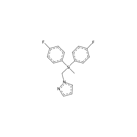 C[Si](Cn1cccn1)(c1ccc(F)cc1)c1ccc(F)cc1